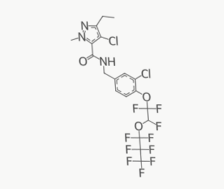 CCc1nn(C)c(C(=O)NCc2ccc(OC(F)(F)C(F)OC(F)(F)C(F)(F)C(F)(F)F)c(Cl)c2)c1Cl